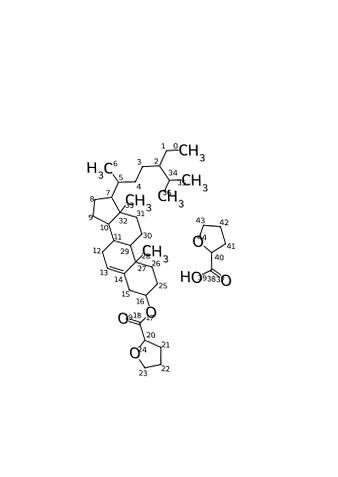 CCC(CCC(C)C1CCC2C3CC=C4CC(OC(=O)C5CCCO5)CCC4(C)C3CCC12C)C(C)C.O=C(O)C1CCCO1